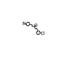 CN(C)c1ccc(/C=C/C(=O)/C=C/c2cccc(Cl)c2)cc1